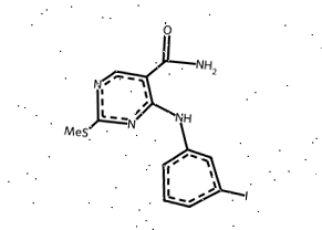 CSc1ncc(C(N)=O)c(Nc2cccc(I)c2)n1